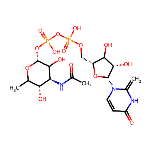 C=C1NC(=O)C=CN1[C@@H]1O[C@H](COP(=O)(O)OP(=O)(O)O[C@H]2OC(C)[C@@H](O)[C@H](NC(C)=O)C2O)C(O)[C@@H]1O